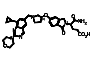 NC(=O)C(CCC(=O)O)N1Cc2cc(O[C@H]3CCN(Cc4cc(C5CC5)c5nc(N6CCOCC6)ncc5c4)C3)ccc2C1=O